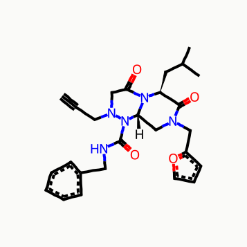 C#CCN1CC(=O)N2[C@@H](CC(C)C)C(=O)N(Cc3ccco3)C[C@@H]2N1C(=O)NCc1ccccc1